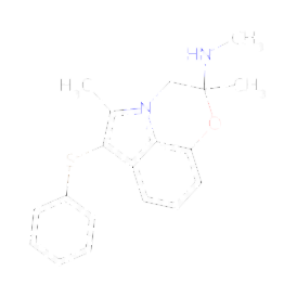 CNC1(C)Cn2c(C)c(Sc3ccccc3)c3cccc(c32)O1